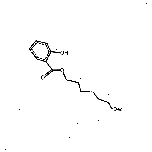 CCCCCCCCCCCCCCCCOC(=O)c1ccccc1O